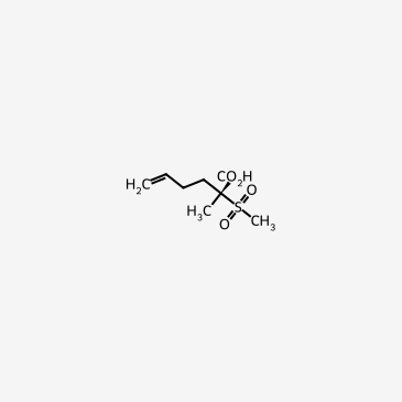 C=CCC[C@](C)(C(=O)O)S(C)(=O)=O